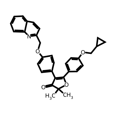 CC1(C)OC(c2ccc(OCC3CC3)cc2)=C(c2ccc(OCc3ccc4ccccc4n3)cc2)C1=O